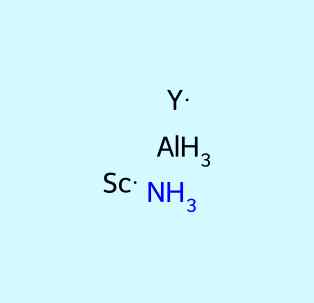 N.[AlH3].[Sc].[Y]